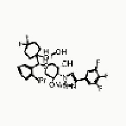 CO[C@H]1C[SH]([C@@H](c2ccccc2C(C)C)C2(O)CCC(F)(F)CC2)[C@H](CO)[C@H](O)[C@@H]1n1cc(-c2cc(F)c(F)c(F)c2)nn1